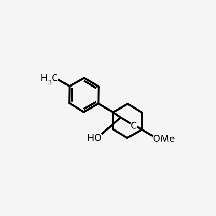 COC12CCC(c3ccc(C)cc3)(CC1)C(O)C2